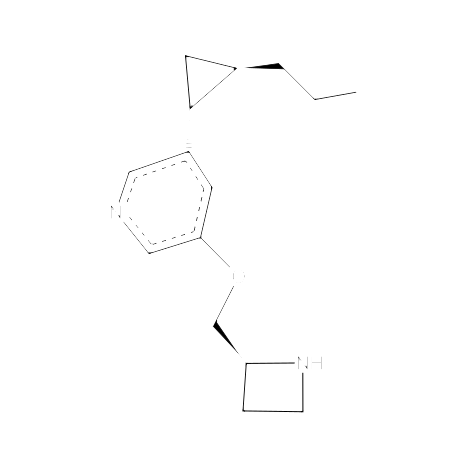 CCC[C@@H]1C[C@H]1c1cncc(OC[C@@H]2CCN2)c1